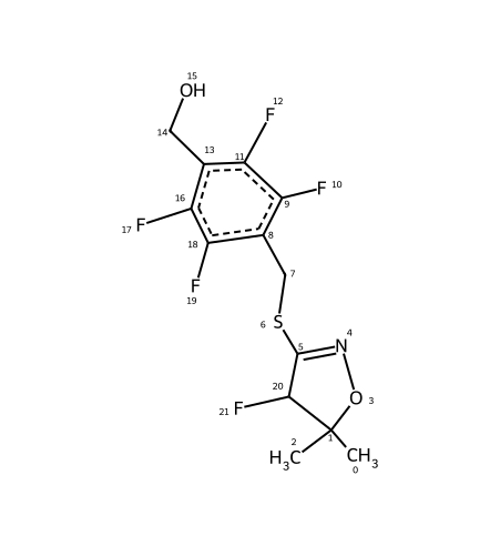 CC1(C)ON=C(SCc2c(F)c(F)c(CO)c(F)c2F)C1F